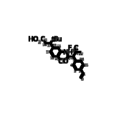 C=Cc1ccc([C@@H](C(=O)Nc2cc(C(CC(=O)O)C(C)(C)C)ccc2Cl)[C@@H](C)C(F)(F)F)cc1